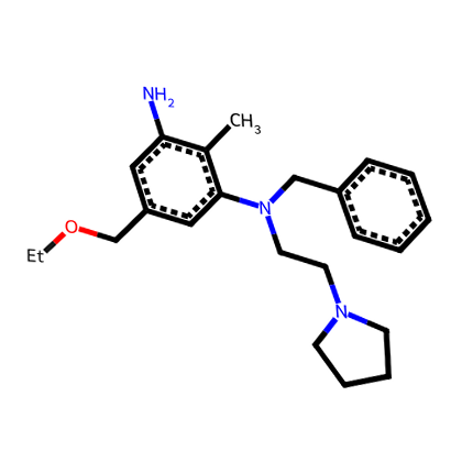 CCOCc1cc(N)c(C)c(N(CCN2CCCC2)Cc2ccccc2)c1